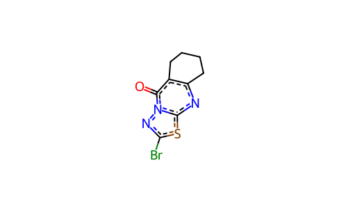 O=c1c2c(nc3sc(Br)nn13)CCCC2